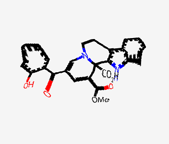 COC(=O)C1=CC(C(=O)c2ccccc2O)=CN2CCc3c([nH]c4ccccc34)C12C(=O)O